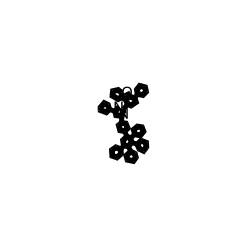 c1ccc(-c2cc(-c3ccc(-c4cc(-c5ccccc5)c(-c5ccccc5)c(-c5ccccc5)c4-c4ccccc4)cc3)nc(-c3ccc(-c4ccccc4)c4oc5ccccc5c34)n2)cc1